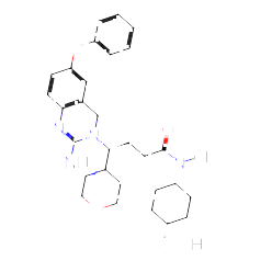 CN(C(=O)CC[C@@H](C1CCOCC1)N1Cc2cc(Oc3ccccc3)ccc2N=C1N)[C@H]1CC[C@@H](C(=O)O)CC1